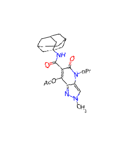 CCCn1c(=O)c(C(=O)NC23CC4CC(CC(C4)C2)C3)c(OC(C)=O)c2nn(C)cc21